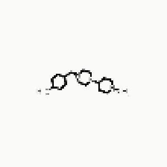 CC1CCC(CN2CCN(C3CCN(C)CC3)CC2)CC1